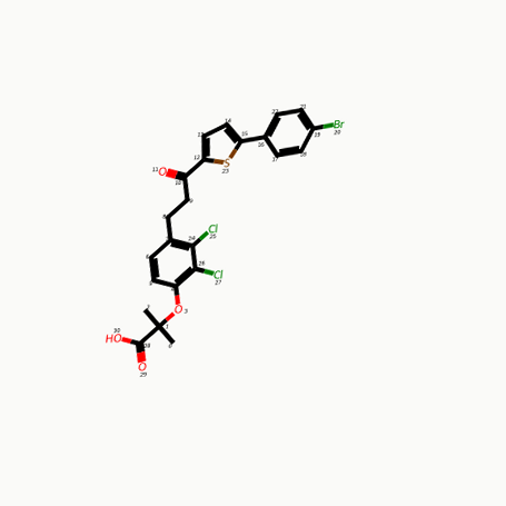 CC(C)(Oc1ccc(CCC(=O)c2ccc(-c3ccc(Br)cc3)s2)c(Cl)c1Cl)C(=O)O